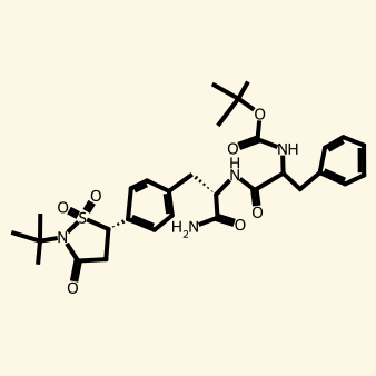 CC(C)(C)OC(=O)NC(Cc1ccccc1)C(=O)N[C@@H](Cc1ccc([C@@H]2CC(=O)N(C(C)(C)C)S2(=O)=O)cc1)C(N)=O